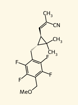 COCc1c(F)c(F)c(C[C@@H]2[C@@H](/C=C(/C)C#N)C2(C)C)c(F)c1F